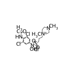 CC(=O)Nc1c(Cl)cc(N(O)S(=O)(=O)CCC[N+]2(C)CCN(C)CC2)cc1Cl.[Cl-]